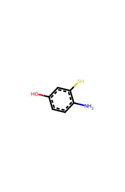 Nc1ccc(O)cc1S